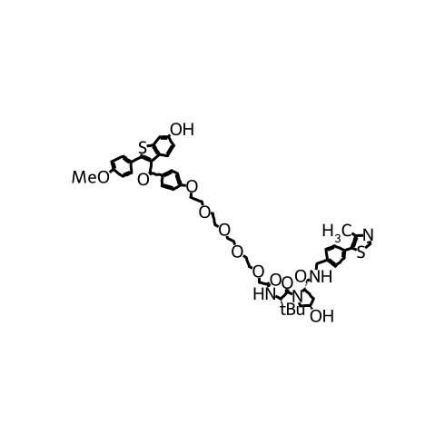 COc1ccc(-c2sc3cc(O)ccc3c2C(=O)c2ccc(OCCOCCOCCOCCOCC(=O)N[C@H](C(=O)N3C[C@H](O)C[C@H]3C(=O)NCc3ccc(-c4scnc4C)cc3)C(C)(C)C)cc2)cc1